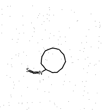 S=C=NC1CCCCCCCCCC1